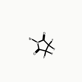 O=C1N(Br)C(=O)C(F)(F)C1(F)F